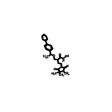 CC(OCC(CCN1C(=O)N(C)C(C)(C)C1=O)C(=O)NO)c1ccc(-c2ccccc2)cc1